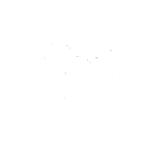 CN(C)Cc1cc(Br)cnc1N1CC2CCC(C1)O2